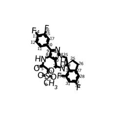 CS(=O)(=O)CC(=O)Nc1c(-c2ccc(F)c(F)c2)nn2c1C(=O)N[C@]1(CCc3cc(F)cc(F)c31)C2